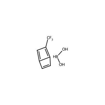 FC(F)(F)c1cc2ccc1-2.OBO